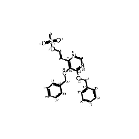 CS(=O)(=O)OCCc1ncnc(OCc2ccccc2)c1OCc1ccccc1